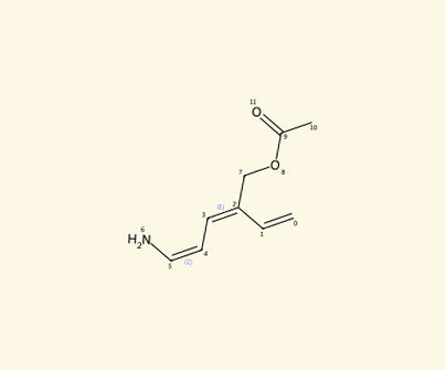 C=C/C(=C\C=C/N)COC(C)=O